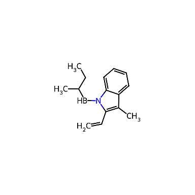 C=Cc1c(C)c2ccccc2n1BC(C)CC